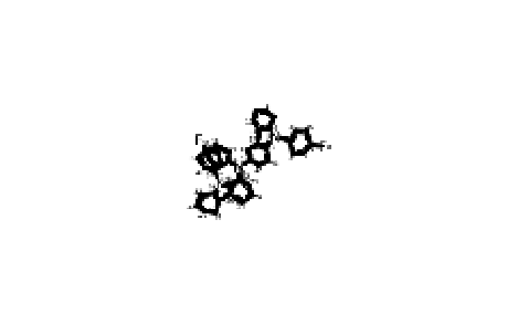 Fc1ccc(-n2c3ccccc3c3cc(N(c4ccccc4)c4cccc5c6ccccc6n(-c6ccc(F)cc6)c45)ccc32)cc1